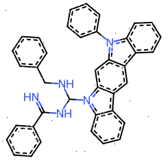 N=C(NC(NCc1ccccc1)n1c2ccccc2c2cc3c4ccccc4n(-c4ccccc4)c3cc21)c1ccccc1